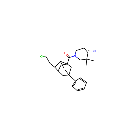 CC1(C)CN(C(=O)C23CC4CC(c5ccccc5)(CC2C4CCCl)C3)CC[C@@H]1N